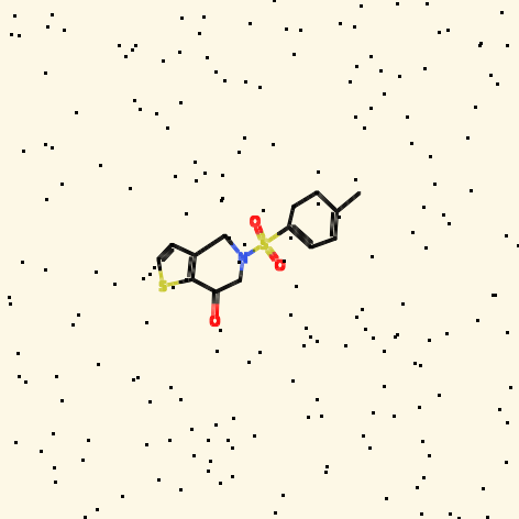 CC1=CC=C(S(=O)(=O)N2CC(=O)c3sccc3C2)CC1